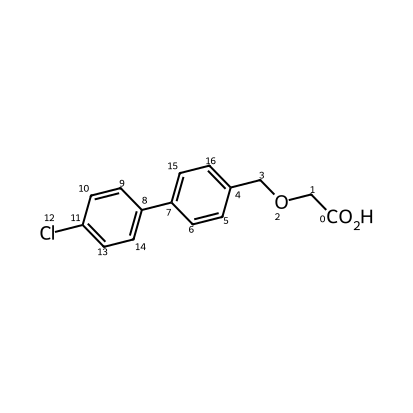 O=C(O)COCc1ccc(-c2ccc(Cl)cc2)cc1